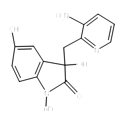 CCCN1C(=O)C(O)(Cc2ncccc2N)c2cc(C)ccc21